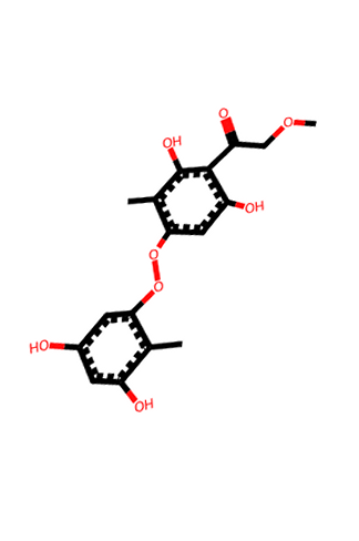 COCC(=O)c1c(O)cc(OOc2cc(O)cc(O)c2C)c(C)c1O